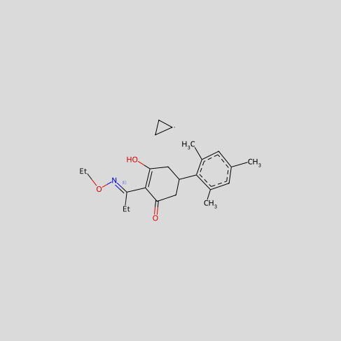 CCO/N=C(\CC)C1=C(O)CC(c2c(C)cc(C)cc2C)CC1=O.[CH]1CC1